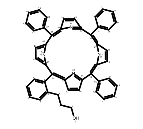 OCCCc1ccccc1-c1c2nc(c(-c3ccccc3)c3ccc([nH]3)c(-c3ccccc3)c3nc(c(-c4ccccc4)c4ccc1[nH]4)C=C3)C=C2